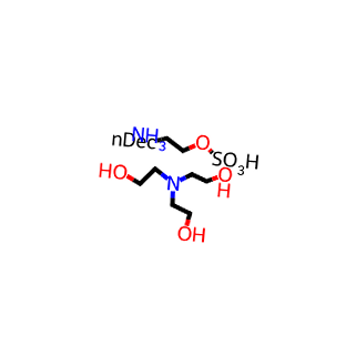 CCCCCCCCCCCCOS(=O)(=O)O.N.OCCN(CCO)CCO